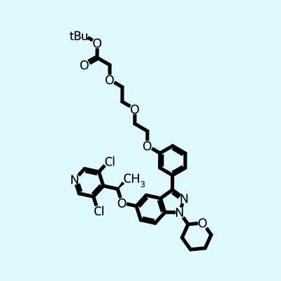 C[C@@H](Oc1ccc2c(c1)c(-c1cccc(OCCOCCOCC(=O)OC(C)(C)C)c1)nn2C1CCCCO1)c1c(Cl)cncc1Cl